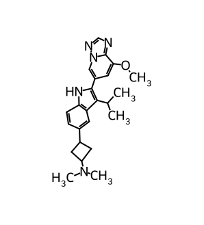 COc1cc(-c2[nH]c3ccc(C4CC(N(C)C)C4)cc3c2C(C)C)cn2ncnc12